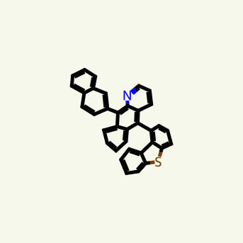 c1ccc2cc(-c3c4ccccc4c(-c4cccc5sc6ccccc6c45)c4cccnc34)ccc2c1